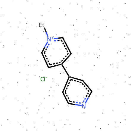 CC[n+]1ccc(-c2ccncc2)cc1.[Cl-]